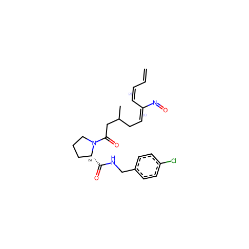 C=C/C=C\C(=C/CC(C)CC(=O)N1CCC[C@H]1C(=O)NCc1ccc(Cl)cc1)N=O